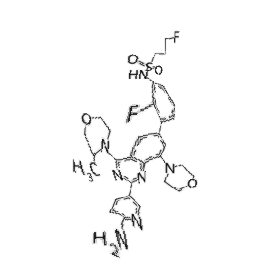 CC1COCCN1c1nc(-c2ccc(N)nc2)nc2c(N3CCOCC3)cc(-c3cccc(NS(=O)(=O)CCCF)c3F)cc12